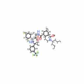 CCCC(CCC)N1CCc2c(C(=O)N[C@@H](Cc3cc(F)cc(F)c3)[C@H](O)CNC3(c4cccc(C(F)(F)F)c4)CC3)cc(F)cc2C1=O